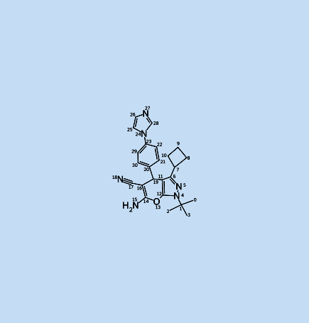 CC(C)(C)n1nc(C2CCC2)c2c1OC(N)=C(C#N)C2c1ccc(-n2ccnc2)cc1